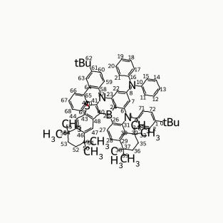 CC(C)(C)c1ccc(N2c3cc(N(c4ccccc4)c4ccccc4)cc4c3B(c3ccc5c(c32)C(C)(C)CCC5(C)C)c2c(sc3cc5c(cc23)C(C)(C)CCC5(C)C)N4c2ccc(C(C)(C)C)cc2-c2ccccc2)cc1